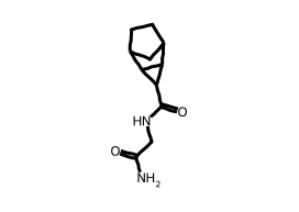 NC(=O)CNC(=O)C1C2C3CCC(C3)C12